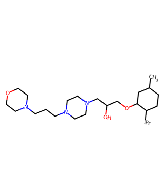 CC1CCC(C(C)C)C(OCC(O)CN2CCN(CCCN3CCOCC3)CC2)C1